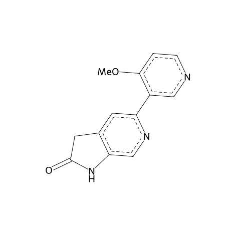 COc1ccncc1-c1cc2c(cn1)NC(=O)C2